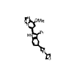 COc1cc(-c2[nH]c3ccc(C4CN(C5COC5)C4)cc3c2C(C)C)cn2ncnc12